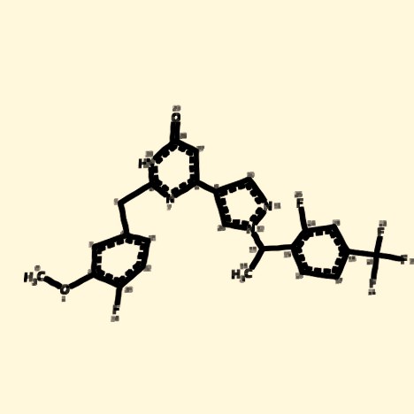 COc1cc(Cc2nc(-c3cnn(C(C)c4ccc(C(F)(F)F)cc4F)c3)cc(=O)[nH]2)ccc1F